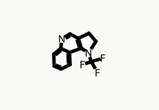 FC(F)(F)N1CCc2cnc3ccccc3c21